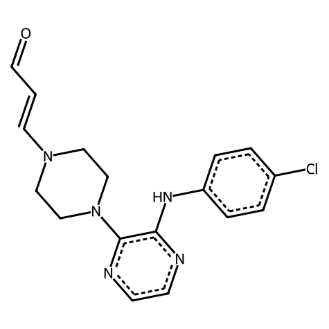 O=CC=CN1CCN(c2nccnc2Nc2ccc(Cl)cc2)CC1